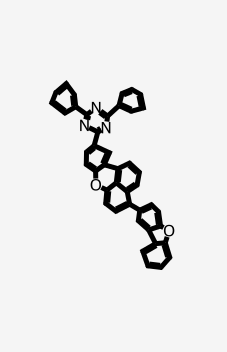 c1ccc(-c2nc(-c3ccccc3)nc(-c3ccc4c(c3)-c3cccc5c(-c6ccc7oc8ccccc8c7c6)ccc(c35)O4)n2)cc1